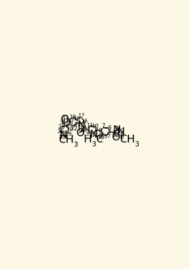 Cc1nnc(-c2ccc(-c3ccc(C(=O)N4CCc5cc6c(cc54)C4(CCN(C)CC4)CO6)cn3)c(C)c2)o1